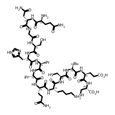 CC[C@H](C)[C@H](NC(=O)[C@H](CS)NC(=O)[C@H](CCCCN)NC(=O)[C@H](CCC(N)=O)NC(=O)[C@@H](NC(=O)[C@@H](NC(=O)[C@H](Cc1c[nH]cn1)NC(=O)[C@H](CO)NC(=O)CNC(=O)[C@H](CC(N)=O)NC(=O)[C@@H](N)CCC(N)=O)C(C)C)C(C)C)C(=O)N[C@@H](CCC(=O)O)C(=O)N[C@@H](CS)C(=O)O